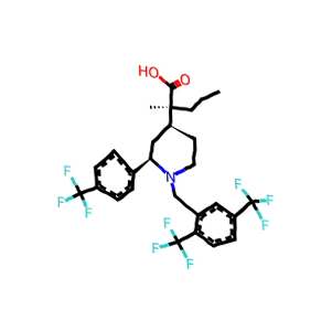 CCC[C@](C)(C(=O)O)[C@H]1CCN(Cc2cc(C(F)(F)F)ccc2C(F)(F)F)[C@@H](c2ccc(C(F)(F)F)cc2)C1